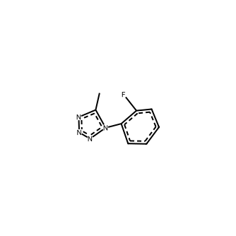 Cc1nnnn1-c1ccccc1F